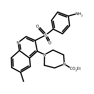 CCOC(=O)N1CCN(c2c(S(=O)(=O)c3ccc(N)cc3)cnc3ccc(C)cc23)CC1